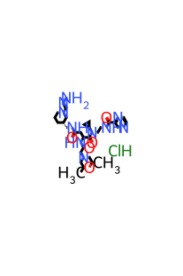 CC1CN(CC(=O)NC(CC(=O)NC[C@@H]2CCCN(C=NN)C2)C(=O)N(CCNC(=O)c2cnccn2)C2CC2)C[C@H](C)O1.Cl